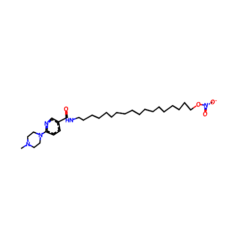 CN1CCN(c2ccc(C(=O)NCCCCCCCCCCCCCCCCCCO[N+](=O)[O-])cn2)CC1